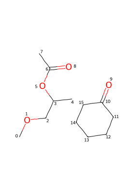 COCC(C)OC(C)=O.O=C1CCCCC1